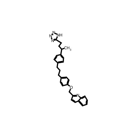 CC(CCc1nnn[nH]1)c1ccc(CCCc2ccc(OCc3ccc4ccccc4n3)cc2)cc1